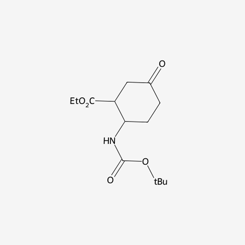 CCOC(=O)C1CC(=O)CCC1NC(=O)OC(C)(C)C